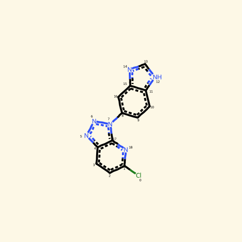 Clc1ccc2nnn(-c3ccc4[nH]cnc4c3)c2n1